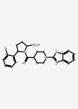 O=C(O)C1CCC(c2ccccc2Cl)N1C(=O)C1CCN(c2nc3ccccc3o2)CC1